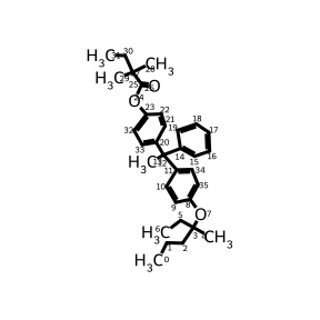 CCCC(C)(CC)Oc1ccc(C(C)(c2ccccc2)c2ccc(OC(=O)C(C)(C)CC)cc2)cc1